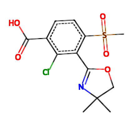 CC1(C)COC(c2c(S(C)(=O)=O)ccc(C(=O)O)c2Cl)=N1